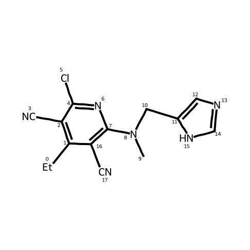 CCc1c(C#N)c(Cl)nc(N(C)Cc2cnc[nH]2)c1C#N